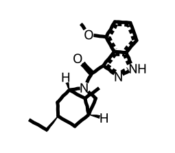 CC[C@@H]1C[C@H]2CN(C(=O)c3n[nH]c4cccc(OC)c34)[C@@H](C1)C2C